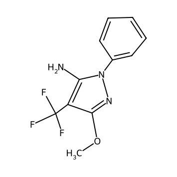 COc1nn(-c2ccccc2)c(N)c1C(F)(F)F